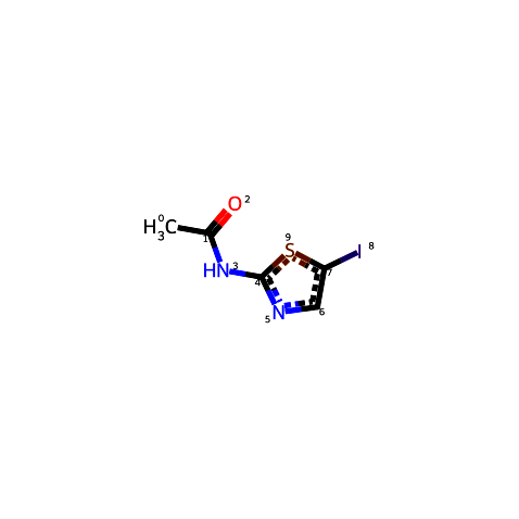 CC(=O)Nc1ncc(I)s1